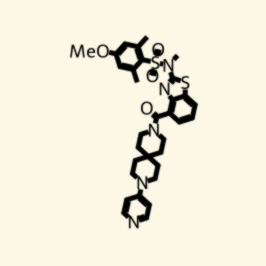 COc1cc(C)c(S(=O)(=O)N(C)c2nc3c(C(=O)N4CCC5(CC4)CCN(c4ccncc4)CC5)cccc3s2)c(C)c1